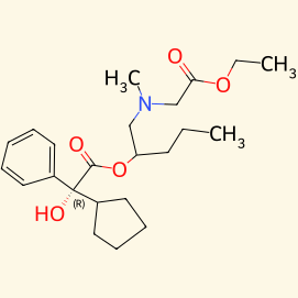 CCCC(CN(C)CC(=O)OCC)OC(=O)[C@](O)(c1ccccc1)C1CCCC1